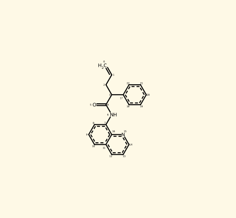 C=CCC(C(=O)Nc1cccc2cccnc12)c1ccccc1